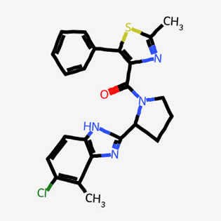 Cc1nc(C(=O)N2CCCC2c2nc3c(C)c(Cl)ccc3[nH]2)c(-c2ccccc2)s1